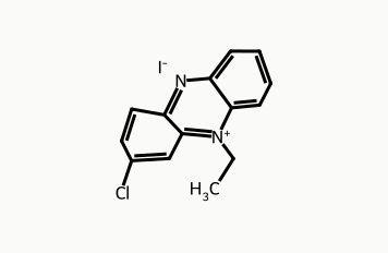 CC[n+]1c2ccccc2nc2ccc(Cl)cc21.[I-]